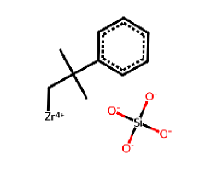 CC(C)([CH2][Zr+4])c1ccccc1.[O-][Si]([O-])([O-])[O-]